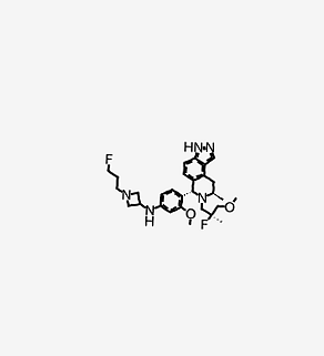 COC[C@@](C)(F)CN1[C@H](c2ccc(NC3CN(CCCF)C3)cc2OC)c2ccc3[nH]ncc3c2C[C@H]1C